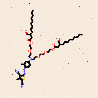 CCCCCC/C=C/CC(C=O)CC(=O)OCCOCCOCCN(CCOCCOC(=O)CC(C=O)C/C=C/CCCCCC)c1ccc(/N=N/c2sc(C#N)c(C)c2C#N)c(C)c1